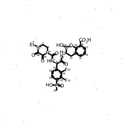 CCN1CCN(C(=O)N[C@@H](C(=O)N[C@H]2Cc3cccc(C(=O)O)c3OB2O)c2ccc(P(C)(=O)O)c(F)c2F)C(=O)C1=O